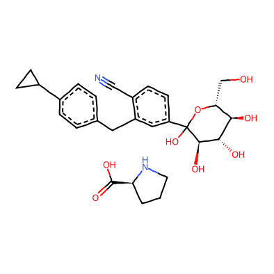 N#Cc1ccc(C2(O)O[C@H](CO)[C@@H](O)[C@H](O)[C@H]2O)cc1Cc1ccc(C2CC2)cc1.O=C(O)[C@@H]1CCCN1